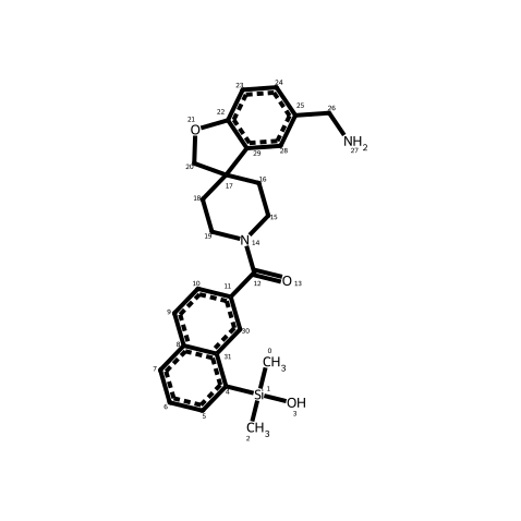 C[Si](C)(O)c1cccc2ccc(C(=O)N3CCC4(CC3)COc3ccc(CN)cc34)cc12